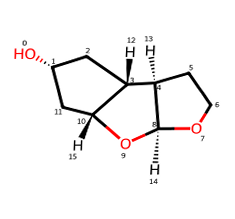 O[C@@H]1C[C@@H]2[C@H]3CCO[C@H]3O[C@@H]2C1